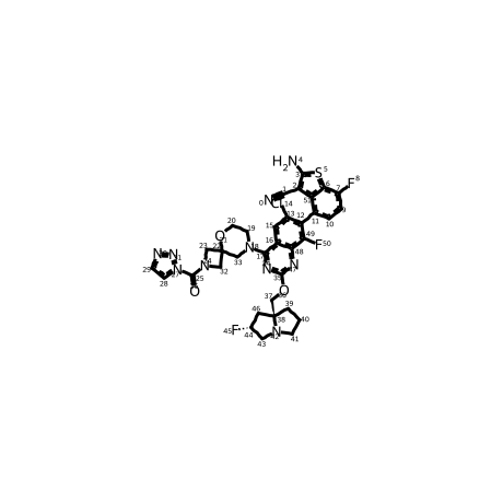 N#Cc1c(N)sc2c(F)ccc(-c3c(Cl)cc4c(N5CCOC6(CN(C(=O)n7ccnn7)C6)C5)nc(OC[C@@]56CCCN5C[C@H](F)C6)nc4c3F)c12